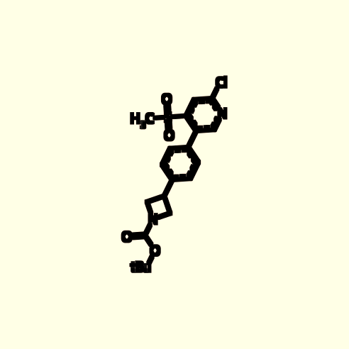 CC(C)(C)OC(=O)N1CC(c2ccc(-c3cnc(Cl)cc3S(C)(=O)=O)cc2)C1